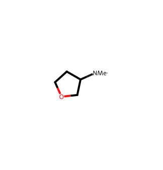 C[N]C1CCOC1